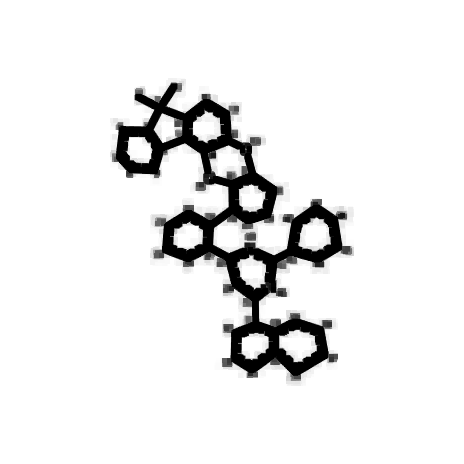 CC1(C)c2ccccc2-c2c1ccc1c2Oc2c(cccc2-c2ccccc2-c2cc(-c3cccc4ccccc34)nc(-c3ccccc3)n2)O1